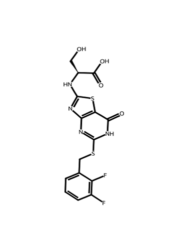 O=C(O)[C@H](CO)Nc1nc2nc(SCc3cccc(F)c3F)[nH]c(=O)c2s1